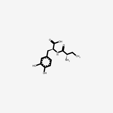 CC[C@H](N)C(=O)N[C@@H](Cc1ccc(O)c(O)c1)C(=O)O